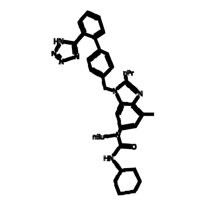 CCCCN(C(=O)NC1CCCCC1)c1cc(C)c2nc(CCC)n(Cc3ccc(-c4ccccc4-c4nnn[nH]4)cc3)c2c1